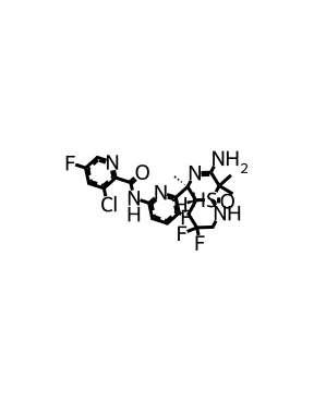 CC1(C)C(N)=N[C@](C)(c2nc(NC(=O)c3ncc(F)cc3Cl)ccc2F)[C@H]2CC(F)(F)CN[SH]21=O